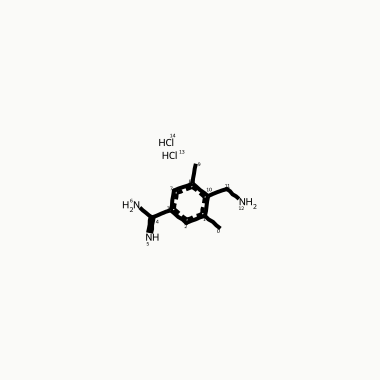 Cc1cc(C(=N)N)cc(C)c1CN.Cl.Cl